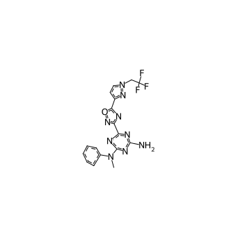 CN(c1ccccc1)c1nc(N)nc(-c2noc(-c3ccn(CC(F)(F)F)n3)n2)n1